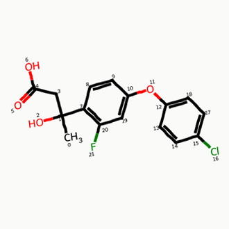 CC(O)(CC(=O)O)c1ccc(Oc2ccc(Cl)cc2)cc1F